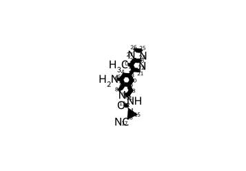 Cc1c(-c2cc(N)c3cnc(NC(=O)[C@@H]4C[C@H]4C#N)cc3c2)cnc2nccnc12